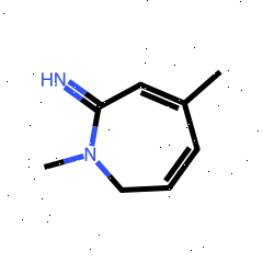 CC1=CC(=N)N(C)CC=C1